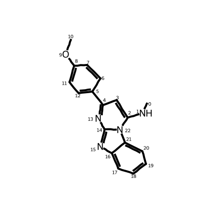 CNc1cc(-c2ccc(OC)cc2)nc2nc3ccccc3n12